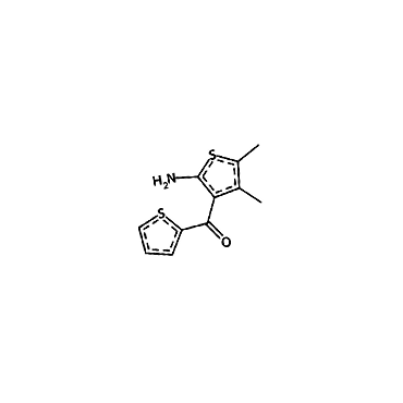 Cc1sc(N)c(C(=O)c2cccs2)c1C